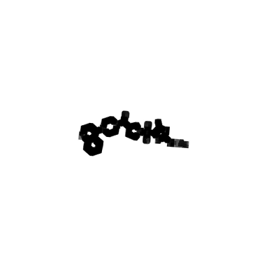 CC(=O)Nc1nc(C)c(S(=O)(=O)N2CCC(C(=O)N3CCN(c4ccnc5ccccc45)CC3)C2)s1